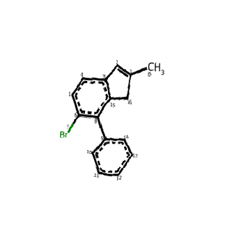 CC1=Cc2ccc(Br)c(-c3ccccc3)c2C1